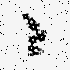 COc1c(C(O)O)cnn1-c1cccc(-c2cccc(C)c2OCc2ccc3c(c2F)CCN(C2COC2)C3)n1